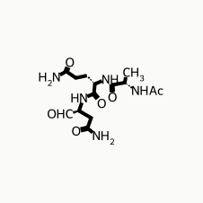 CC(=O)N[C@@H](C)C(=O)N[C@@H](CCC(N)=O)C(=O)N[C@H](C=O)CC(N)=O